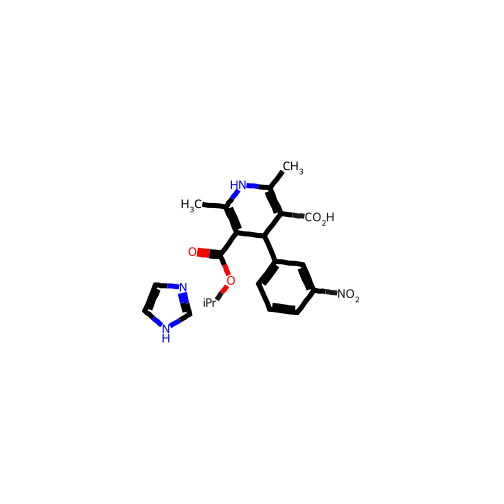 CC1=C(C(=O)O)C(c2cccc([N+](=O)[O-])c2)C(C(=O)OC(C)C)=C(C)N1.c1c[nH]cn1